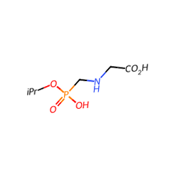 CC(C)OP(=O)(O)CNCC(=O)O